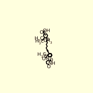 Cn1c(=O)n(C2CCC(=O)NC2=O)c2cccc(C#CCCCCCOC3CCN(C(=O)O)CC3C(C)(C)C)c21